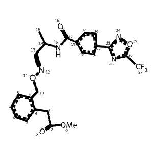 COC(=O)Cc1ccccc1CON=CC(C)NC(=O)c1ccc(-c2noc(C(F)(F)F)n2)cc1